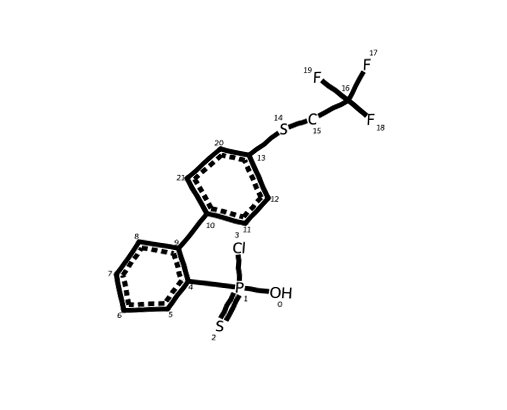 OP(=S)(Cl)c1ccccc1-c1ccc(SCC(F)(F)F)cc1